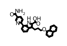 NC(=O)c1ccc(-c2cccc3c(CCCOc4cccc5ccccc45)c(C(=O)O)[nH]c23)nc1